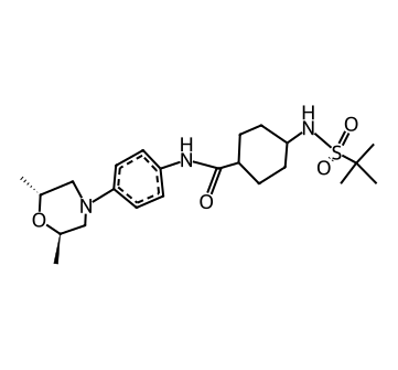 C[C@@H]1CN(c2ccc(NC(=O)C3CCC(NS(=O)(=O)C(C)(C)C)CC3)cc2)C[C@@H](C)O1